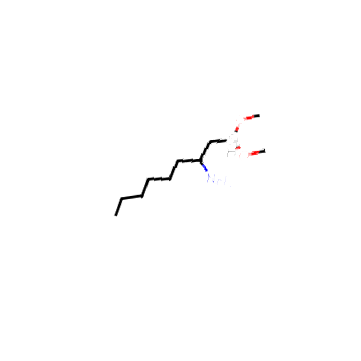 CCCCCCC(N)C[SiH](OC)OC